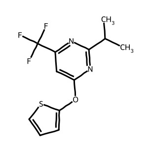 CC(C)c1nc(Oc2cccs2)cc(C(F)(F)F)n1